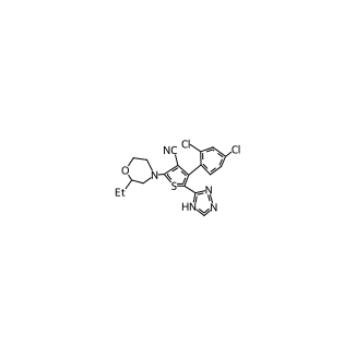 [C-]#[N+]c1c(N2CCOC(CC)C2)sc(-c2nnc[nH]2)c1-c1ccc(Cl)cc1Cl